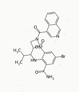 CC(C)C(Nc1c(C(N)=O)cc(Br)cc1[N+](=O)[O-])C1CN(C(=O)c2cncc3ccccc23)C1